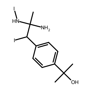 CC(C)(O)c1ccc(C(I)C(C)(N)NI)cc1